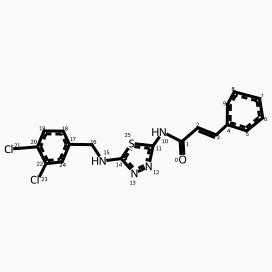 O=C(C=Cc1ccccc1)Nc1nnc(NCc2ccc(Cl)c(Cl)c2)s1